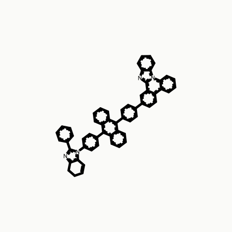 C1=Cc2c(nc(-c3ccccc3)n2-c2ccc(-c3c4ccccc4c(-c4ccc(-c5ccc6c7ccccc7n7c8ccccc8nc7c6c5)cc4)c4ccccc34)cc2)CC1